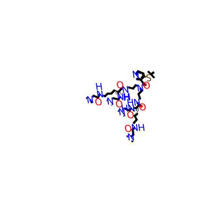 CN(C)CC(=O)NCCCC[C@H](NC(=O)CN(C)C)C(=O)NCCCN(CCCNC(=O)[C@H](CCCCNC(=O)CN(C)C)NC(=O)CN(C)C)C(=O)c1cnccc1SC(C)(C)C